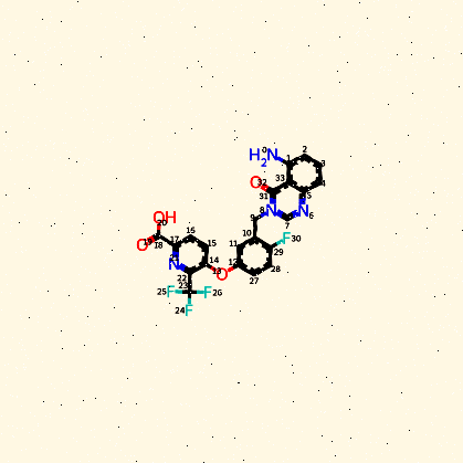 Nc1cccc2ncn(Cc3cc(Oc4ccc(C(=O)O)nc4C(F)(F)F)ccc3F)c(=O)c12